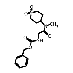 CN(C(=O)CNC(=O)OCc1ccccc1)C1CCS(=O)(=O)CC1